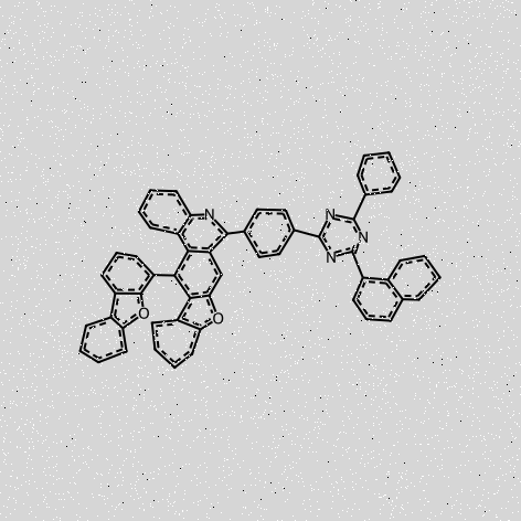 c1ccc(-c2nc(-c3ccc(-c4nc5ccccc5c5c(-c6cccc7c6oc6ccccc67)c6c(cc45)oc4ccccc46)cc3)nc(-c3cccc4ccccc34)n2)cc1